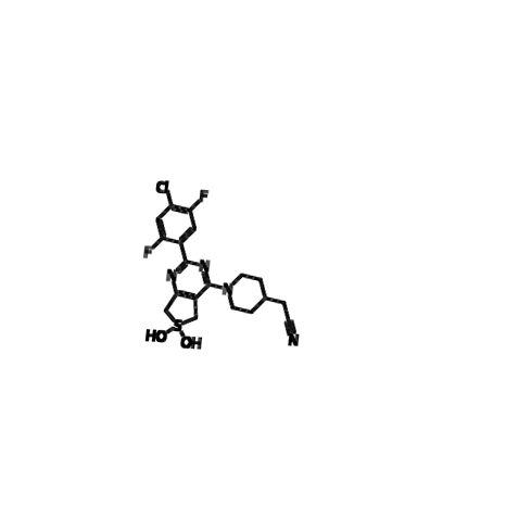 N#CCC1CCN(c2nc(-c3cc(F)c(Cl)cc3F)nc3c2CS(O)(O)C3)CC1